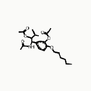 CCCCCCOc1ccc(C(NC(C)=O)C(OC(C)=O)C(C)C)cc1OC(C)=O